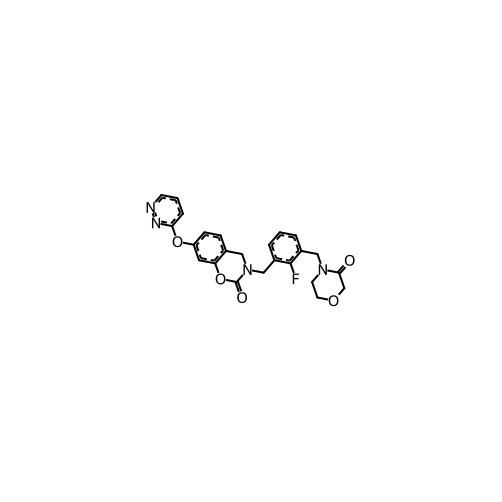 O=C1COCCN1Cc1cccc(CN2Cc3ccc(Oc4cccnn4)cc3OC2=O)c1F